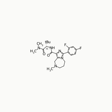 CN1CCCn2c(-c3ccc(F)cc3F)nc(C(=O)N[C@H](C(=O)N(C)C)C(C)(C)C)c2C1